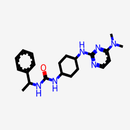 CC(NC(=O)NC1CCC(Nc2nccc(N(C)C)n2)CC1)c1ccccc1